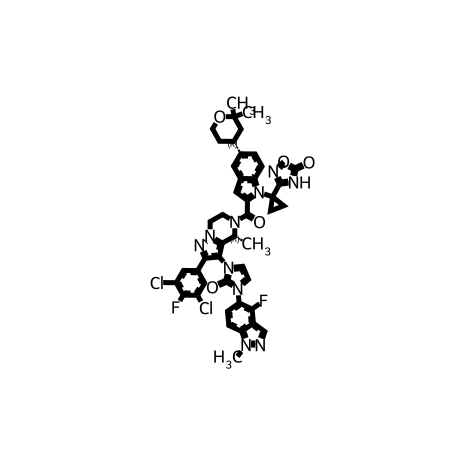 C[C@@H]1c2c(-n3ccn(-c4ccc5c(cnn5C)c4F)c3=O)c(-c3cc(Cl)c(F)c(Cl)c3)nn2CCN1C(=O)c1cc2cc([C@@H]3CCOC(C)(C)C3)ccc2n1C1(c2noc(=O)[nH]2)CC1